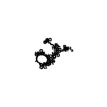 COc1cc(NC(=O)[C@H](CCCCNC(N)=O)NC(=O)[C@@H](NC(=O)CCCCCN2C(=O)C=CC2=O)C(C)C)ccc1C(=O)N(C)[C@@H](C)C(=O)O[C@H]1CC(=O)N(C)c2cc(cc(OC)c2Cl)C/C(C)=C/C=C/[C@@H](OC)[C@@]2(O)C[C@H](OC(=O)N2)[C@@H](C)[C@@H]2O[C@@]12C